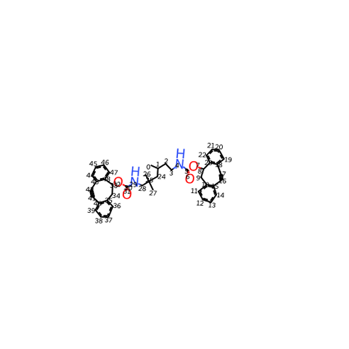 CC(CCNC(=O)OC1Cc2ccccc2C#Cc2ccccc21)CC(C)(C)CNC(=O)OC1Cc2ccccc2C#Cc2ccccc21